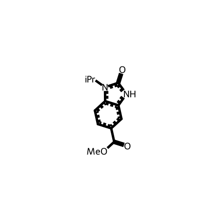 COC(=O)c1ccc2c(c1)[nH]c(=O)n2C(C)C